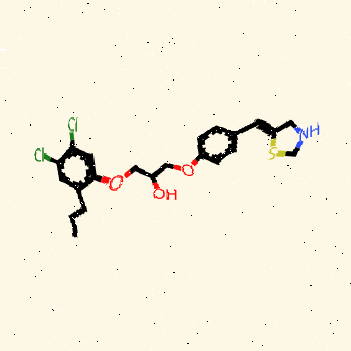 CCCc1cc(Cl)c(Cl)cc1OCC(O)COc1ccc(C=C2CNCS2)cc1